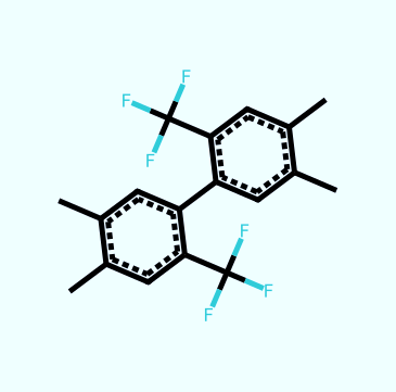 Cc1cc(-c2cc(C)c(C)cc2C(F)(F)F)c(C(F)(F)F)cc1C